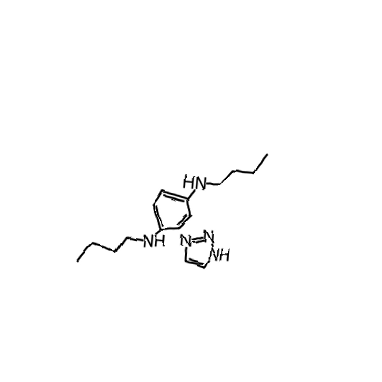 CCCCNc1ccc(NCCCC)cc1.c1c[nH]nn1